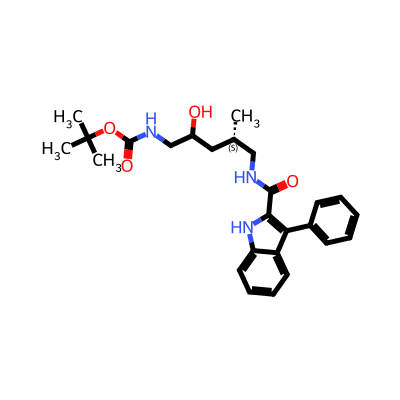 C[C@H](CNC(=O)c1[nH]c2ccccc2c1-c1ccccc1)CC(O)CNC(=O)OC(C)(C)C